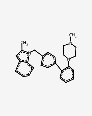 Cc1cc2ccccc2n1Cc1ccc(-c2ccccc2N2CCN(C)CC2)cc1